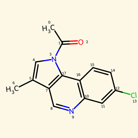 CC(=O)n1cc(C)c2cnc3cc(Cl)ccc3c21